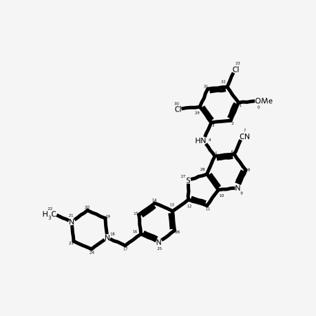 COc1cc(Nc2c(C#N)cnc3cc(-c4ccc(CN5CCN(C)CC5)nc4)sc23)c(Cl)cc1Cl